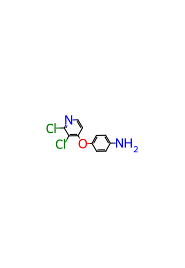 Nc1ccc(Oc2ccnc(Cl)c2Cl)cc1